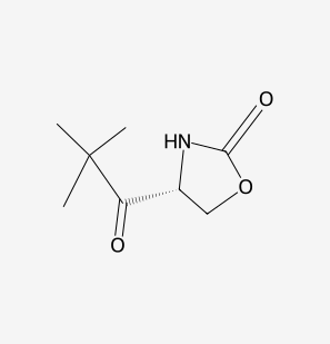 CC(C)(C)C(=O)[C@H]1COC(=O)N1